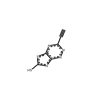 C#Cc1nnc2nc(S)sc2n1